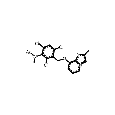 CC(=O)N(C)c1c(Cl)cc(Cl)c(COc2cccn3cc(C)nc23)c1Cl